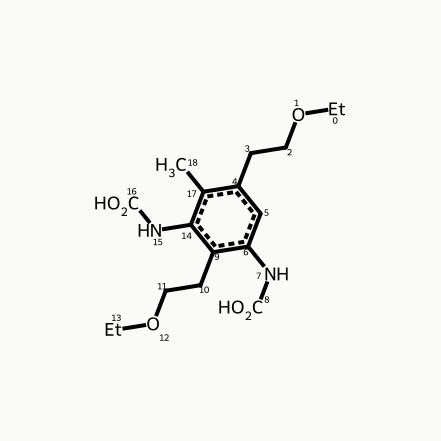 CCOCCc1cc(NC(=O)O)c(CCOCC)c(NC(=O)O)c1C